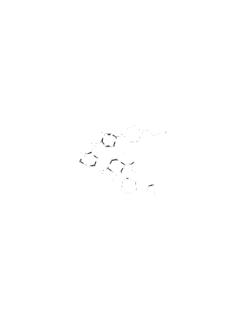 Cc1cc(Nc2cc(Nc3ccc(N4CCN(CCO)CC4)cn3)ncn2)[n+]([O-])c2c1C(=O)NC21CCCCC1.O=CO